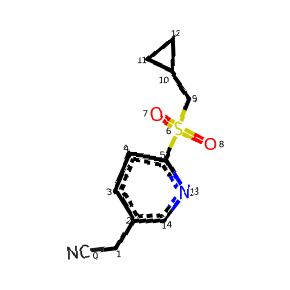 N#CCc1ccc(S(=O)(=O)CC2CC2)nc1